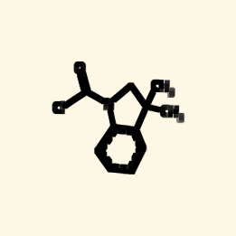 CC1(C)CN(C(=O)Cl)c2ccccc21